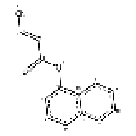 N#CC=CC(=O)Oc1cccc2ccccc12